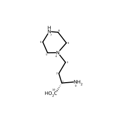 N[C@@H](CCN1CCNCC1)C(=O)O